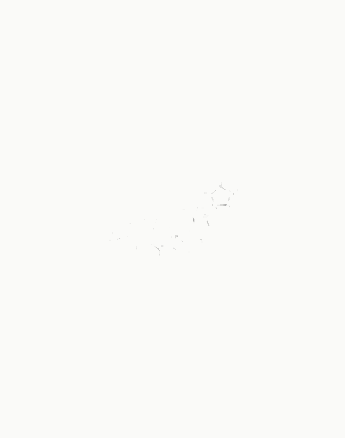 C[C@]12CC[C@H](O)CC1=CC[C@@H]1[C@@H]2CC[C@]2(C)C(n3ccnn3)=CC[C@@H]12